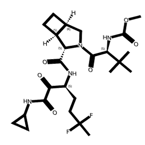 COC(=O)N[C@H](C(=O)N1C[C@@H]2CC[C@@H]2[C@H]1C(=O)N[C@@H](CCC(C)(F)F)C(=O)C(=O)NC1CC1)C(C)(C)C